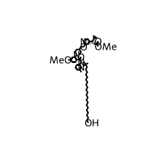 COC(=O)C[C@H](c1ccnc(OCC2CCN(c3cc(OC)ccc3C(=O)N(CC(C)(C)CCCCCCCCCCCCCCCCCCCCCCO)c3cccc(C)n3)CC2)c1)C1CC1